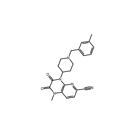 Cc1cccc(CN2CCC(n3c(=O)c(=O)n(C)c4ccc(C#N)nc43)CC2)c1